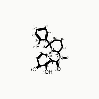 CN1C(=O)c2c(O)c(=O)ccn2N2C1CCCC2(C)c1ccccc1F